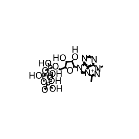 CC1=NN(C)c2ncnc3c2[n+]1cn3C1OC(CO[PH](O)(O)OP(=O)(O)OP(=O)(O)O)C(O)C1O